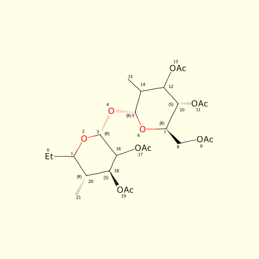 CCC1O[C@H](O[C@H]2O[C@H](COC(C)=O)[C@@H](OC(C)=O)C(OC(C)=O)C2C)C(OC(C)=O)[C@@H](OC(C)=O)[C@@H]1C